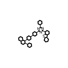 c1ccc(-c2nc(-c3ccc(-c4ccc(-c5c(-c6ccccc6)ccc6ccccc56)cc4)cc3)nc(-c3cccc4c3sc3ccccc34)n2)cc1